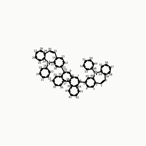 C1=Cc2ccc(-c3cc4cc(-c5ccc6c(c5)N(c5ccccc5)c5ccccc5C=C6)c5ccccc5c4c4ccccc34)cc2N(c2ccccc2)c2ccccc21